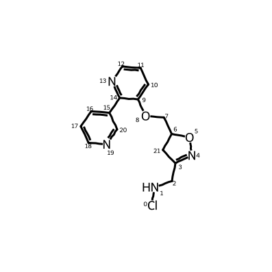 ClNCC1=NOC(COc2cccnc2-c2cccnc2)C1